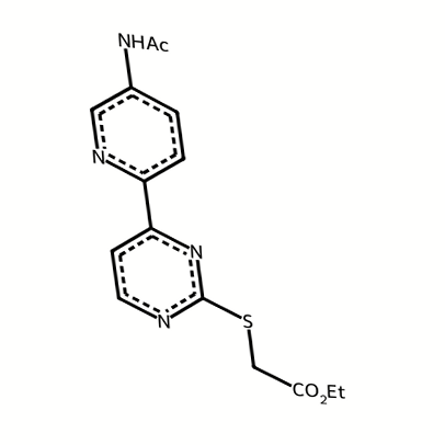 CCOC(=O)CSc1nccc(-c2ccc(NC(C)=O)cn2)n1